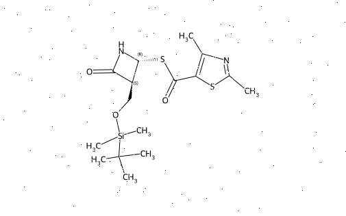 Cc1nc(C)c(C(=O)S[C@H]2NC(=O)[C@@H]2CO[Si](C)(C)C(C)(C)C)s1